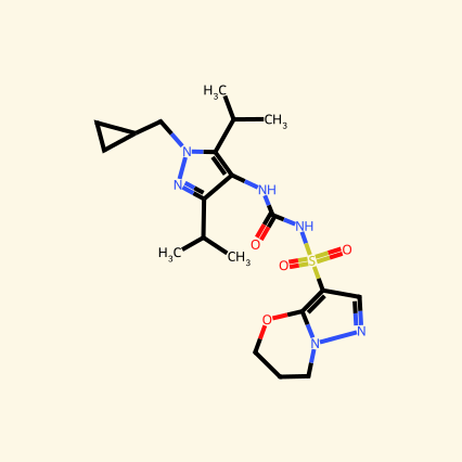 CC(C)c1nn(CC2CC2)c(C(C)C)c1NC(=O)NS(=O)(=O)c1cnn2c1OCCC2